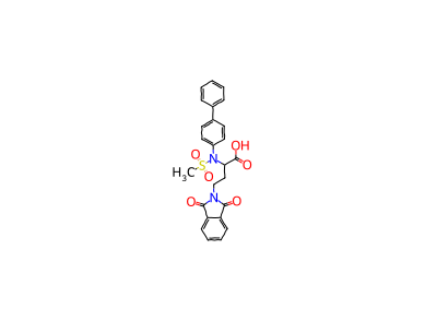 CS(=O)(=O)N(c1ccc(-c2ccccc2)cc1)C(CCN1C(=O)c2ccccc2C1=O)C(=O)O